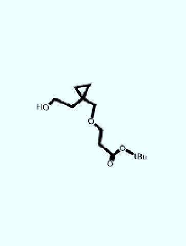 CC(C)(C)OC(=O)CCOCC1(CCO)CC1